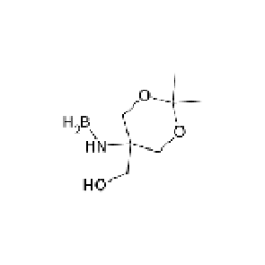 BNC1(CO)COC(C)(C)OC1